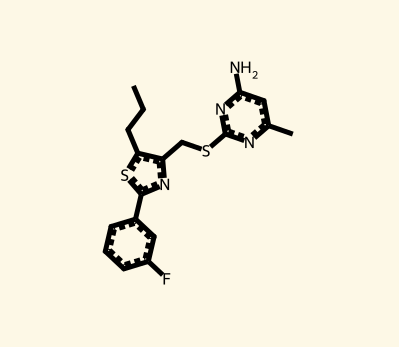 CCCc1sc(-c2cccc(F)c2)nc1CSc1nc(C)cc(N)n1